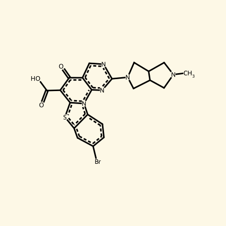 CN1CC2CN(c3ncc4c(=O)c(C(=O)O)c5sc6cc(Br)ccc6n5c4n3)CC2C1